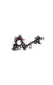 CC[C@@H]1OC(=O)[C@H](C)[C@H](O[C@@H]2C[C@](C)(OC)[C@H](OCCCNCCCc3ccc4c(c3)c(=O)c(C(=O)O)cn4CC)[C@H](C)O2)[C@@H](C)[C@H](O[C@H]2O[C@@H](C)C[C@@H](N(C)C)[C@H]2O)[C@](C)(OC)C[C@H](C)C(=O)[C@H](C)[C@H]2NC(=O)O[C@@]12C